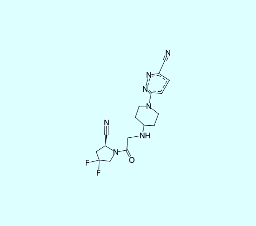 N#Cc1ccc(N2CCC(NCC(=O)N3CC(F)(F)C[C@H]3C#N)CC2)nn1